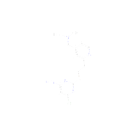 CN(C)Cc1ccnc(CCSc2nc(N)cc(Cl)n2)c1